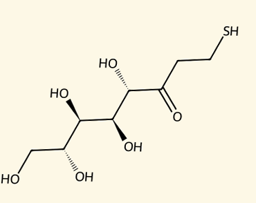 O=C(CCS)[C@@H](O)[C@@H](O)[C@H](O)[C@H](O)CO